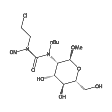 CCCCN(C(=O)N(CCCl)N=O)[C@@H]1[C@@H](OC)O[C@H](CO)[C@@H](O)[C@@H]1O